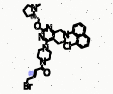 CN1CCC[C@H]1COc1nc2c(c(N3CCN(C(=O)/C=C/CBr)CC3)n1)CCN(c1cccc3cccc(Cl)c13)C2